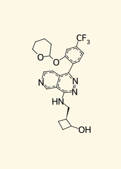 OC1CC[C@H]1CNc1nnc(-c2ccc(C(F)(F)F)cc2OC2CCCCO2)c2ccncc12